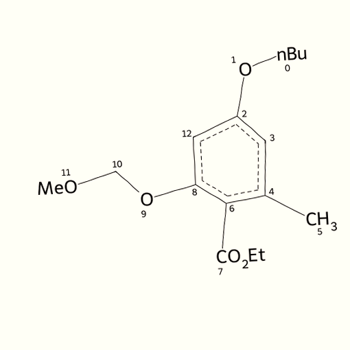 CCCCOc1cc(C)c(C(=O)OCC)c(OCOC)c1